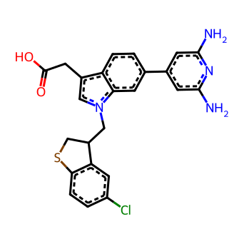 Nc1cc(-c2ccc3c(CC(=O)O)cn(CC4CSc5ccc(Cl)cc54)c3c2)cc(N)n1